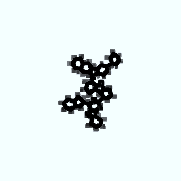 c1ccc(-c2ccc3c(c2)c2cc4ccccc4cc2n3-c2cccc3c2oc2cccc(-c4nc(-c5ccc6ccccc6c5)c5sc6ccccc6c5n4)c23)cc1